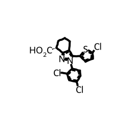 O=C(O)[C@@H]1CCCc2c1nn(-c1ccc(Cl)cc1Cl)c2-c1ccc(Cl)s1